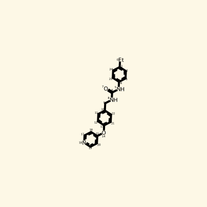 CCc1ccc(NC(=O)NCc2ccc(Oc3ccncc3)cc2)cc1